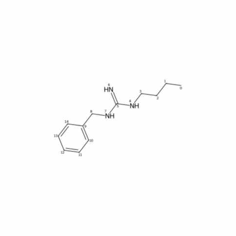 CCCCNC(=N)NCc1ccccc1